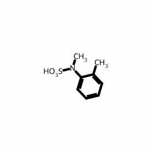 Cc1ccccc1N(C)S(=O)(=O)O